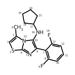 Cc1csc2nc(-c3c(F)cccc3F)c(NC3CCCC3)n12